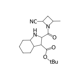 CC1CC(C#N)N1C(=O)C1NC2CCCCC2C1C(=O)OC(C)(C)C